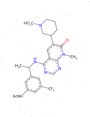 CC(=O)Nc1cc(C(C)Nc2ncnc3c2cc(C2CCCN(C(=O)O)C2)c(=O)n3C)cc(C(F)(F)F)c1